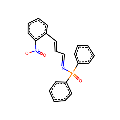 O=[N+]([O-])c1ccccc1/C=C/C=NP(=O)(c1ccccc1)c1ccccc1